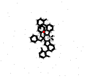 Cc1cccc(C)c1-c1cccc2c1C=C1[CH]2[Hf]([CH3])([CH3])[CH]2C(=Cc3c(-c4c(C)cccc4C)cccc32)C1(Cc1ccccc1)Cc1ccccc1